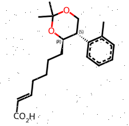 Cc1ccccc1[C@H]1COC(C)(C)O[C@@H]1CCCCC=CC(=O)O